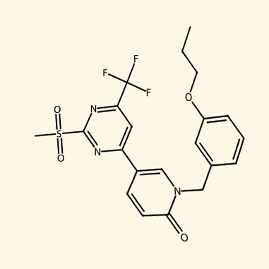 CCCOc1cccc(Cn2cc(-c3cc(C(F)(F)F)nc(S(C)(=O)=O)n3)ccc2=O)c1